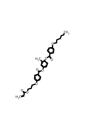 C=CC(=O)OCCCOc1ccc(C(=O)Oc2ccc(OC(=O)c3ccc(OCCCCCC)cc3)c(C)c2)cc1